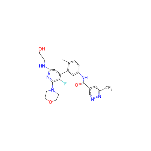 Cc1ccc(NC(=O)c2cnnc(C(F)(F)F)c2)cc1-c1cc(NCCO)nc(N2CCOCC2)c1F